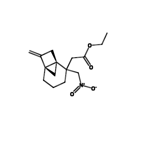 C=C1C[C@@]23C[C@@]12CCCC3(CC(=O)OCC)C[N+](=O)[O-]